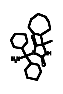 CC1(C2CCCCCCC2)NC(=O)N(C(N)(C2CCCCC2)C2CCCCC2)C1=O